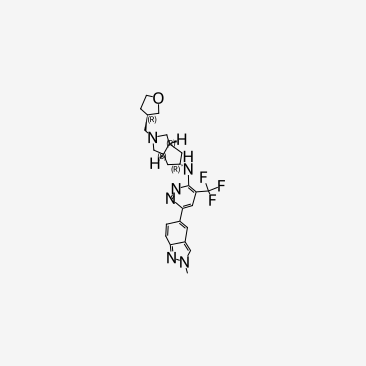 Cn1cc2cc(-c3cc(C(F)(F)F)c(N[C@@H]4C[C@@H]5CN(C[C@H]6CCOC6)C[C@@H]5C4)nn3)ccc2n1